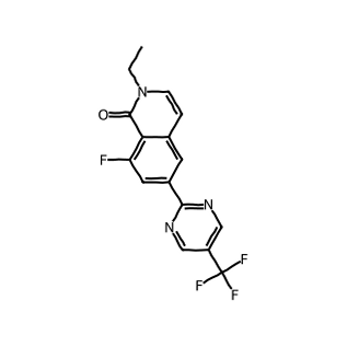 CCn1ccc2cc(-c3ncc(C(F)(F)F)cn3)cc(F)c2c1=O